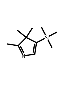 CC1=NC=C([Si](C)(C)C)C1(C)C